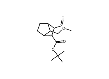 COCC1C2CCC1N(C(=O)OC(C)(C)C)C2C=O